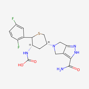 NC(=O)c1[nH]nc2c1CN([C@H]1CSC(c3cc(F)ccc3F)[C@@H](NC(=O)O)C1)C2